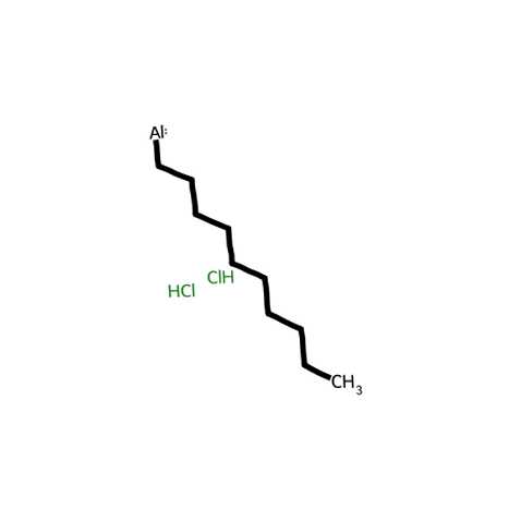 CCCCCCCCC[CH2][Al].Cl.Cl